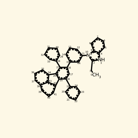 CCc1[nH]c2ccccc2[n+]1-c1cccc(-c2cc(-c3ccccc3)c3c(c2-c2ccccc2)-c2cccc4cccc-3c24)c1